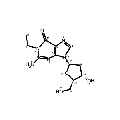 CCn1c(N)nc2c(ncn2[C@H]2C[C@H](O)[C@@H](CO)O2)c1=O